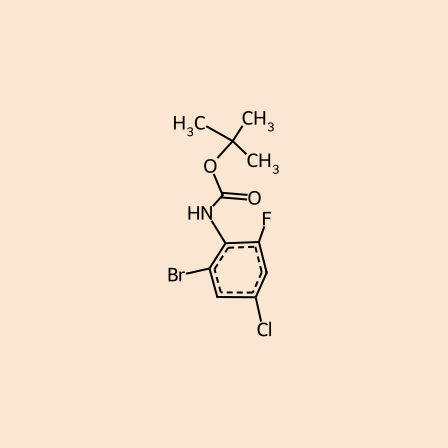 CC(C)(C)OC(=O)Nc1c(F)cc(Cl)cc1Br